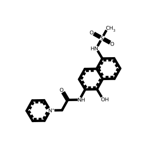 CS(=O)(=O)Nc1cccc2c(O)c(NC(=O)C[n+]3ccccc3)ccc12